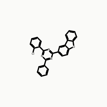 Clc1ccccc1-c1nc(-c2ccccc2)nc(-c2ccc3oc4ccccc4c3c2)n1